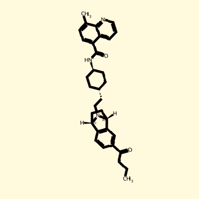 CCCC(=O)c1ccc2c(c1)[C@H]1CC[C@@H]2N1CC[C@H]1CC[C@H](NC(=O)c2ccc(C)c3ncccc23)CC1